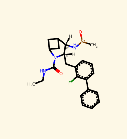 CCNC(=O)N1C2CC(C2)[C@H](N[S+](C)[O-])[C@@H]1Cc1cccc(-c2ccccc2)c1F